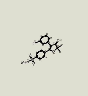 CNS(=O)(=O)c1ccc(C2=C(c3cccc(Cl)c3)C(=O)C(C)(C)O2)cc1